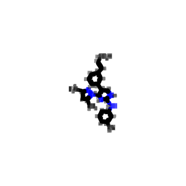 Cc1cc(C(F)(F)F)nn1-c1nc(Nc2cccc(C#N)c2)ncc1-c1cccc(/C=C/C(=O)O)c1